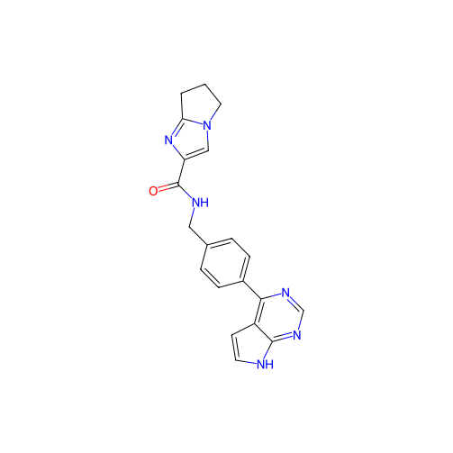 O=C(NCc1ccc(-c2ncnc3[nH]ccc23)cc1)c1cn2c(n1)CCC2